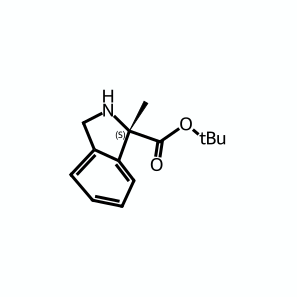 CC(C)(C)OC(=O)[C@@]1(C)NCc2ccccc21